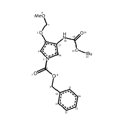 COCOc1cn(C(=O)OCc2ccccc2)cc1NC(=O)OC(C)(C)C